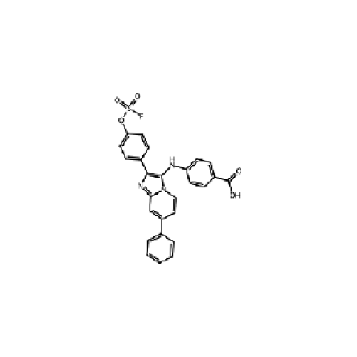 O=C(O)c1ccc(Nc2c(-c3ccc(OS(=O)(=O)F)cc3)nc3cc(-c4ccccc4)ccn23)cc1